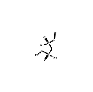 CCOP(=O)(O)[CH]P(=O)(O)OCC